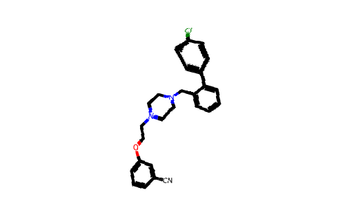 N#Cc1cccc(OCCN2CCN(Cc3ccccc3-c3ccc(Cl)cc3)CC2)c1